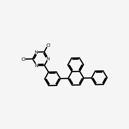 Clc1nc(Cl)nc(-c2cccc(-c3ccc(-c4ccccc4)c4ccccc34)c2)n1